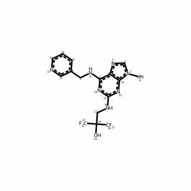 CC(C)n1cnc2c(NCc3cccnc3)nc(NCC(O)(C(F)(F)F)C(F)(F)F)nc21